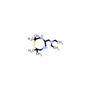 CCN(CC)CC1CNCC(C)(C)SSC(C)(C)CN1